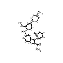 CC(C)Oc1cc(N2CCN(C)CC2)ccc1Nc1ncc2sc(C(N)=O)c(-c3cccc[n+]3[O-])c2n1